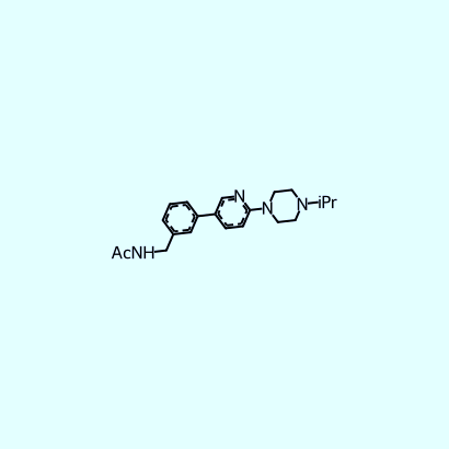 CC(=O)NCc1cccc(-c2ccc(N3CCN(C(C)C)CC3)nc2)c1